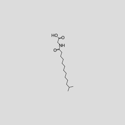 CC(C)CCCCCCCCCCC(=O)NCC(=O)O